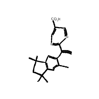 C=C(c1ncc(C(=O)O)cn1)c1cc2c(cc1C)C(C)(C)CC2(C)C